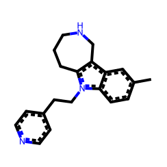 Cc1ccc2c(c1)c1c(n2CCc2ccncc2)CCCNC1